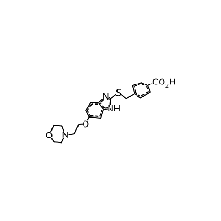 O=C(O)c1ccc(CSc2nc3ccc(OCCN4CCOCC4)cc3[nH]2)cc1